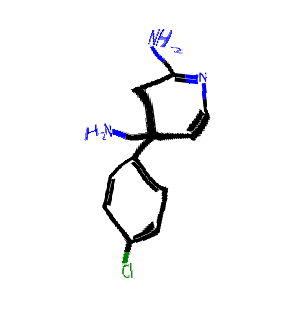 NC1=NC=CC(N)(c2ccc(Cl)cc2)C1